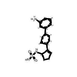 CCCS(=O)(=O)NC1CCC=C1c1ccc(-c2cccc(N)c2)cc1